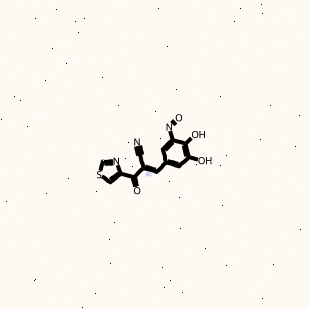 N#C/C(=C\c1cc(O)c(O)c(N=O)c1)C(=O)c1cscn1